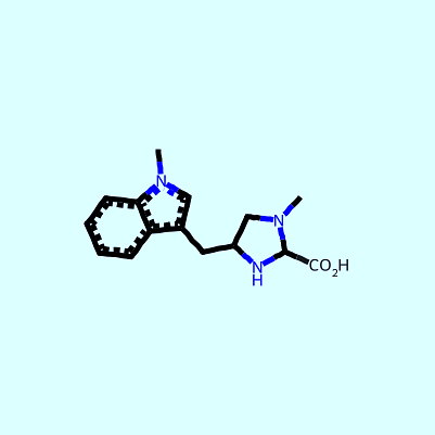 CN1CC(Cc2cn(C)c3ccccc23)NC1C(=O)O